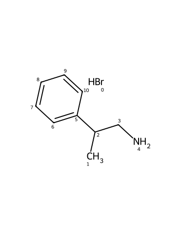 Br.CC(CN)c1ccccc1